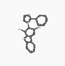 CC(C)c1cc2c(oc3ccccc32)c(C(C)C)c1-n1ccnc1-c1ccccc1